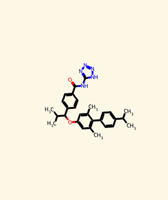 Cc1cc(OC(c2ccc(C(=O)Nc3nnn[nH]3)cc2)C(C)C)cc(C)c1-c1ccc(C(C)C)cc1